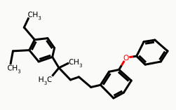 CCc1ccc(C(C)(C)CCCc2cccc(Oc3ccccc3)c2)cc1CC